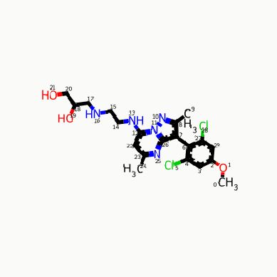 COc1cc(Cl)c(-c2c(C)nn3c(NCCNCC(O)CO)cc(C)nc23)c(Cl)c1